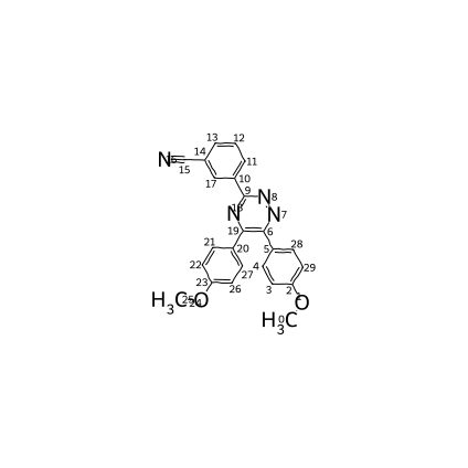 COc1ccc(-c2nnc(-c3cccc(C#N)c3)nc2-c2ccc(OC)cc2)cc1